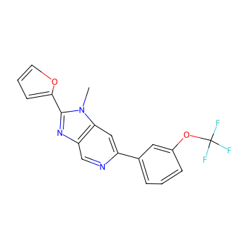 Cn1c(-c2ccco2)nc2cnc(-c3cccc(OC(F)(F)F)c3)cc21